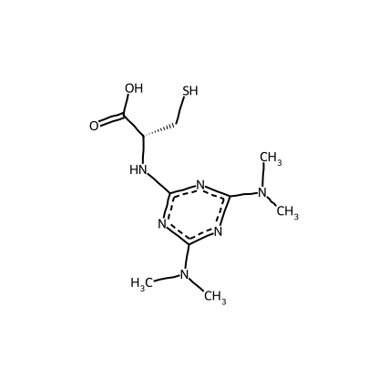 CN(C)c1nc(N[C@@H](CS)C(=O)O)nc(N(C)C)n1